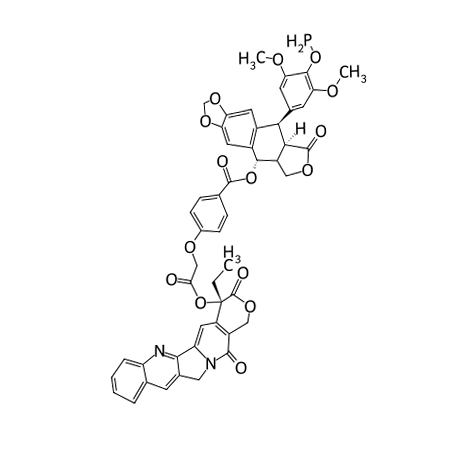 CC[C@@]1(OC(=O)COc2ccc(C(=O)O[C@@H]3c4cc5c(cc4[C@@H](c4cc(OC)c(OP)c(OC)c4)[C@H]4C(=O)OCC34)OCO5)cc2)C(=O)OCc2c1cc1n(c2=O)Cc2cc3ccccc3nc2-1